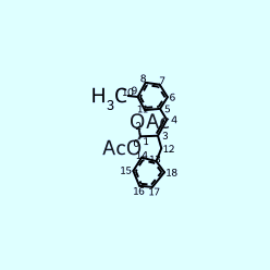 CC(=O)OC(OC(C)=O)C(=Cc1cccc(C)c1)Cc1ccccc1